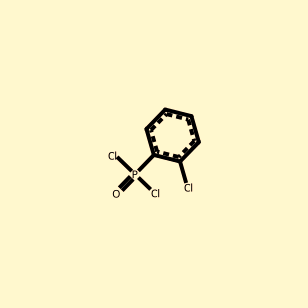 O=P(Cl)(Cl)c1ccccc1Cl